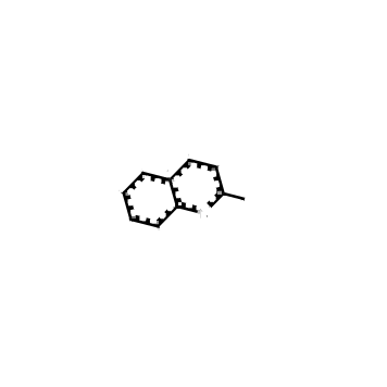 CCCc1ccc2ccccc2n1